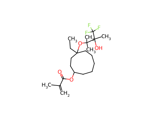 C=C(C)C(=O)OC1CCCCCC(CC)(OC(C)(C)C(C)(O)C(F)(F)F)CC1